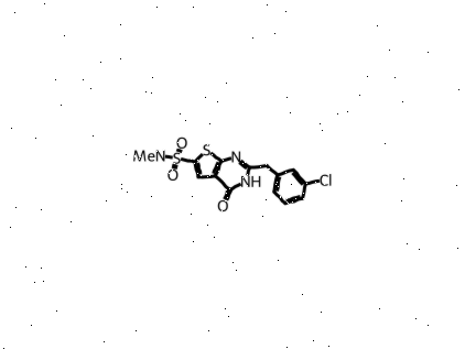 CNS(=O)(=O)c1cc2c(=O)[nH]c(Cc3cccc(Cl)c3)nc2s1